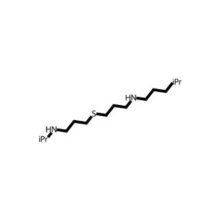 CC(C)CCCNCCCSCCCNC(C)C